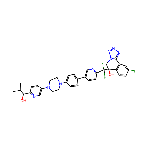 CC(C)C(O)c1ccc(N2CCN(c3ccc(-c4ccc(C(F)(F)[C@]5(O)Cn6nnnc6-c6cc(F)ccc65)nc4)cc3)CC2)cn1